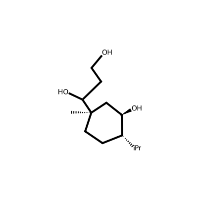 CC(C)[C@@H]1CC[C@@](C)(C(O)CCO)C[C@H]1O